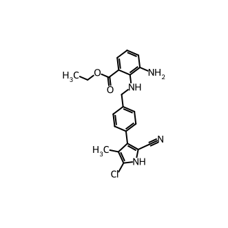 CCOC(=O)c1cccc(N)c1NCc1ccc(-c2c(C#N)[nH]c(Cl)c2C)cc1